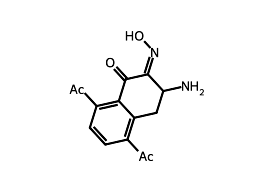 CC(=O)c1ccc(C(C)=O)c2c1CC(N)C(=NO)C2=O